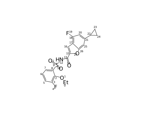 CCOc1c(F)cccc1S(=O)(=O)NC(=O)c1cc2c(F)cc(C3CC3)cc2o1